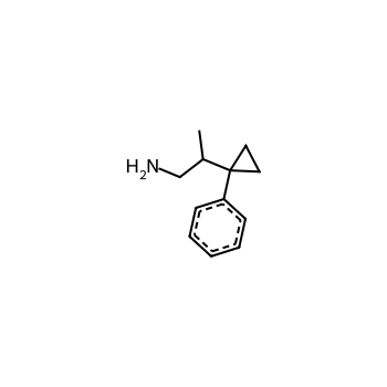 CC(CN)C1(c2ccccc2)CC1